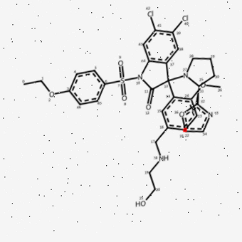 CCOc1ccc(S(=O)(=O)N2C(=O)C(c3cc(CNCCO)ccc3OC)(N3CCC[C@H]3c3ncco3)c3cc(Cl)c(Cl)cc32)cc1